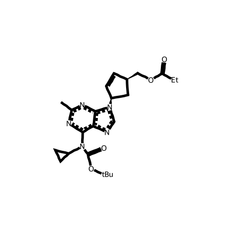 CCC(=O)OC[C@@H]1C=C[C@H](n2cnc3c(N(C(=O)OC(C)(C)C)C4CC4)nc(C)nc32)C1